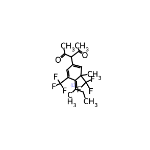 CC/C(C)=C1/C(C(F)(F)F)=CC(C(C(C)=O)C(C)=O)=CC1(C)C(F)(F)F